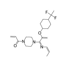 C=CC(=O)N1CCN(/C(=N/C=C\C)C(=C)OC2CCC(C(C)(F)F)CC2)CC1